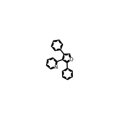 c1ccc(-c2coc(-c3ccccc3)c2-c2ccccn2)cc1